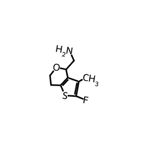 Cc1c(F)sc2c1C(CN)OCC2